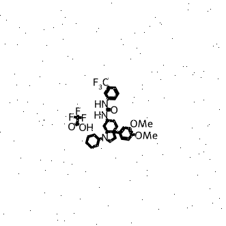 COc1ccc(C23CCC(NC(=O)Nc4cccc(C(F)(F)F)c4)CC2N(C2CCCCC2)CC3)cc1OC.O=C(O)C(F)(F)F